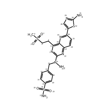 CS(=O)(=O)CCc1nc(N(N)Cc2ccc(S(N)(=O)=O)cc2)nc2ccc(-c3cnc(N)s3)nc12